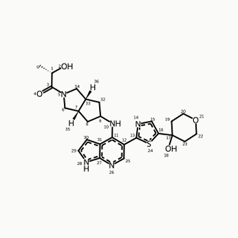 C[C@H](O)C(=O)N1C[C@H]2CC(Nc3c(-c4ncc(C5(O)CCOCC5)s4)cnc4[nH]ccc34)C[C@H]2C1